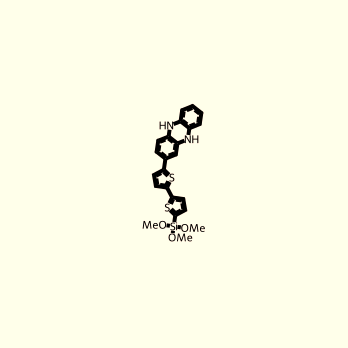 CO[Si](OC)(OC)c1ccc(-c2ccc(-c3ccc4c(c3)Nc3ccccc3N4)s2)s1